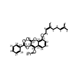 CC(C)=CCCC(C)=CCOc1cccc2c(OC(C)C)c(OC(=O)c3ccccc3)c(=O)oc12